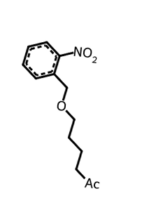 CC(=O)CCCCOCc1ccccc1[N+](=O)[O-]